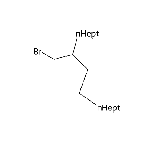 CCCCCCCCCC(CBr)CCCCCCC